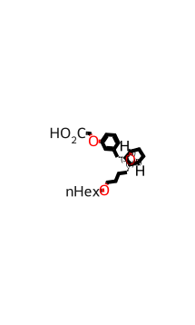 CCCCCCOCCCC[C@@H]1[C@H](Cc2cccc(OCC(=O)O)c2)[C@@H]2CC[C@H]1O2